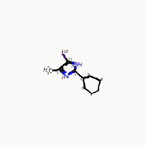 Cc1nc(C2CCCCC2)[nH]c1I